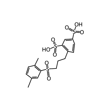 Cc1ccc(C)c(S(=O)(=O)CCCc2ccc(S(=O)(=O)O)cc2S(=O)(=O)O)c1